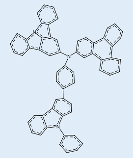 c1ccc(-n2c3ccccc3c3cc(-c4ccc(N(c5ccc6c7ccccc7c7ccccc7c6c5)c5cc6c7ccccc7n7c8ccccc8c(c5)c67)cc4)ccc32)cc1